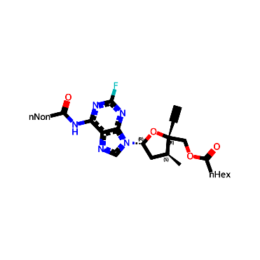 C#C[C@]1(COC(=O)CCCCCC)O[C@@H](n2cnc3c(NC(=O)CCCCCCCCC)nc(F)nc32)C[C@@H]1C